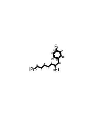 CCC(CCCCCC(C)C)Cc1ccc(F)cc1